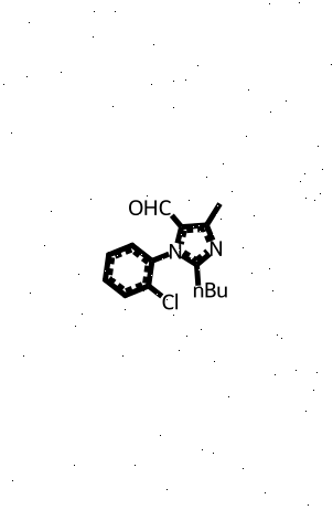 CCCCc1nc(C)c(C=O)n1-c1ccccc1Cl